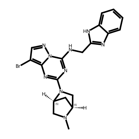 CN1C[C@@H]2C[C@H]1CN2c1nc(NCc2nc3ccccc3[nH]2)n2ncc(Br)c2n1